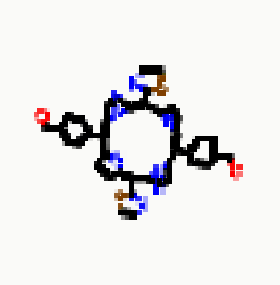 O=Cc1ccc(-c2c3nc(c(-c4nccs4)c4ccc([nH]4)c(-c4ccc(C=O)cc4)c4nc(c(-c5nccs5)c5ccc2[nH]5)C=C4)C=C3)cc1